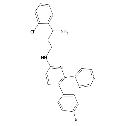 NC(CCNc1ccc(-c2ccc(F)cc2)c(-c2ccncc2)n1)c1ccccc1Cl